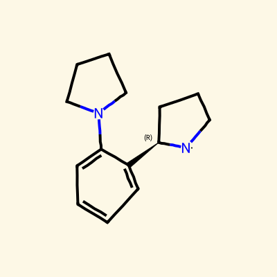 c1ccc(N2CCCC2)c([C@H]2CCC[N]2)c1